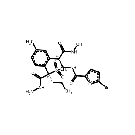 CCC[C@](C(=O)NN)(c1ccc(C)cc1[C@H](CNC(=O)c1ccc(Br)o1)C(=O)NO)S(C)(=O)=O